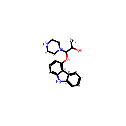 CC(O)C(Oc1cccc2[nH]c3ccccc3c12)N1CCNCC1